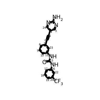 Nc1ncc(C#Cc2cccc(NC(=O)Nc3cccc(C(F)(F)F)c3)c2)cn1